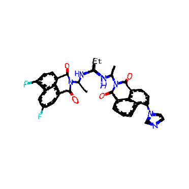 CCC(NC(C)N1C(=O)c2ccc(F)c3cc(F)cc(c23)C1=O)NC(C)N1C(=O)c2cccc3c(-n4ccnc4)ccc(c23)C1=O